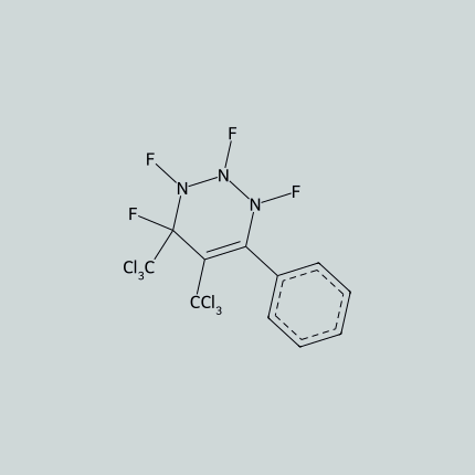 FN1C(c2ccccc2)=C(C(Cl)(Cl)Cl)C(F)(C(Cl)(Cl)Cl)N(F)N1F